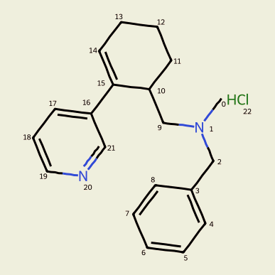 CN(Cc1ccccc1)CC1CCCC=C1c1cccnc1.Cl